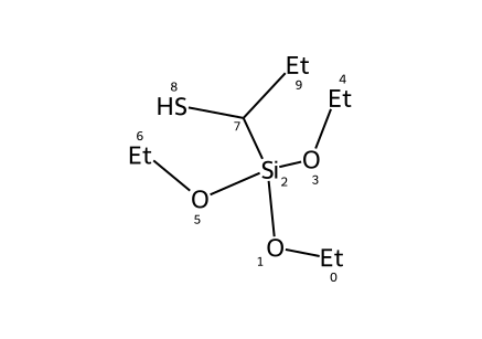 CCO[Si](OCC)(OCC)C(S)CC